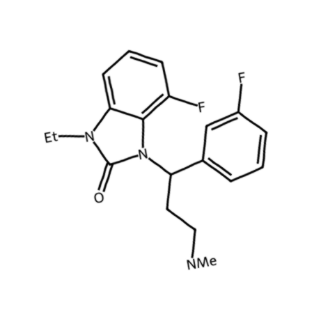 CCn1c(=O)n(C(CCNC)c2cccc(F)c2)c2c(F)cccc21